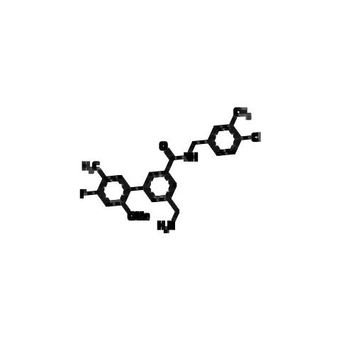 COc1cc(F)c(C)cc1-c1cc(CN)cc(C(=O)NCc2ccc(Cl)c(C)c2)c1